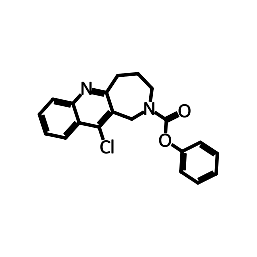 O=C(Oc1ccccc1)N1CCCc2nc3ccccc3c(Cl)c2C1